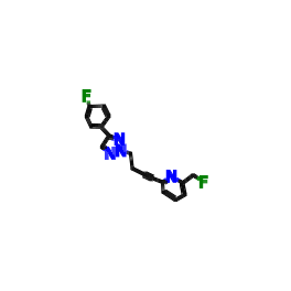 FCc1cccc(C#CCCn2ncc(-c3ccc(F)cc3)n2)n1